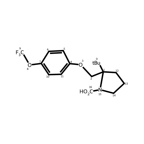 CC(C)(C)C1(COc2ccc(OC(F)(F)F)cc2)CCCN1C(=O)O